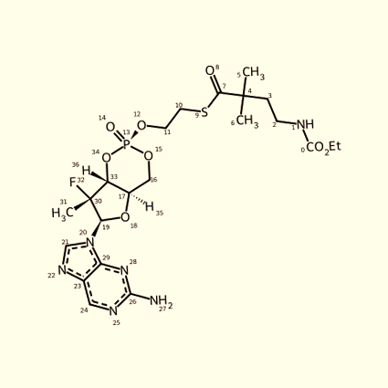 CCOC(=O)NCCC(C)(C)C(=O)SCCO[P@@]1(=O)OC[C@H]2O[C@@H](n3cnc4cnc(N)nc43)[C@](C)(F)[C@@H]2O1